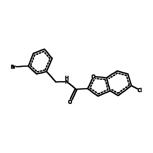 O=C(NCc1cccc(Br)c1)c1cc2cc(Cl)ccc2o1